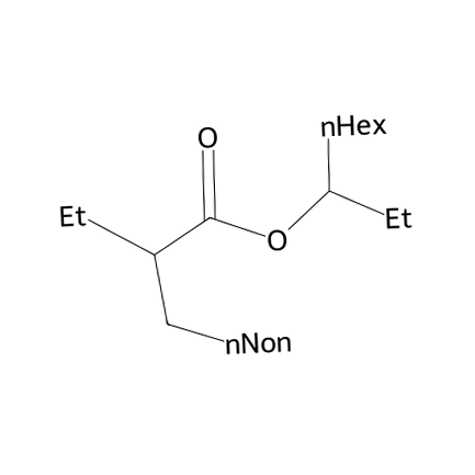 CCCCCCCCCCC(CC)C(=O)OC(CC)CCCCCC